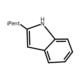 CCCC(C)c1cc2ccccc2[nH]1